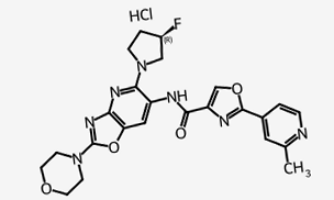 Cc1cc(-c2nc(C(=O)Nc3cc4oc(N5CCOCC5)nc4nc3N3CC[C@@H](F)C3)co2)ccn1.Cl